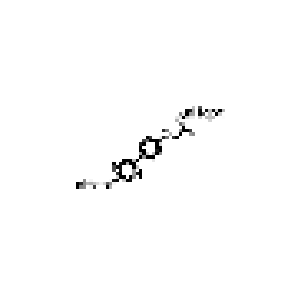 CCCCCCCOC(C)COc1ccc(-c2cnc(CCCCCCC)cn2)cc1